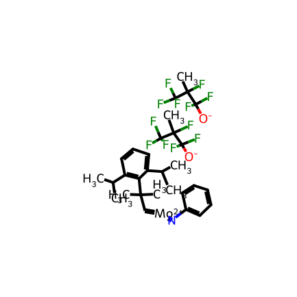 CC(C)c1cccc(C(C)C)c1C(C)(C)[CH]=[Mo+2]=[N]c1ccccc1.CC(F)(C([O-])(F)F)C(F)(F)F.CC(F)(C([O-])(F)F)C(F)(F)F